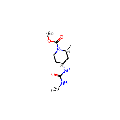 CCCCNC(=O)N[C@@H]1CCN(C(=O)OC(C)(C)C)[C@H](C)C1